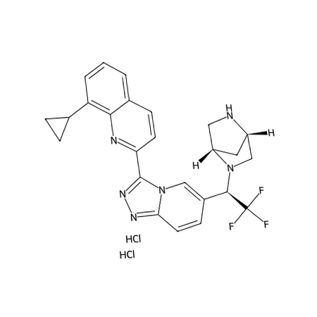 Cl.Cl.FC(F)(F)[C@@H](c1ccc2nnc(-c3ccc4cccc(C5CC5)c4n3)n2c1)N1C[C@@H]2C[C@H]1CN2